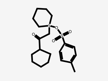 Cc1ccc(S(=O)(=O)OS2(CC(=O)C3CCCCC3)CCCCC2)cc1